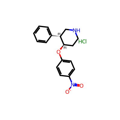 Cl.O=[N+]([O-])c1ccc(O[C@@H]2CCNC[C@H]2c2ccccc2)cc1